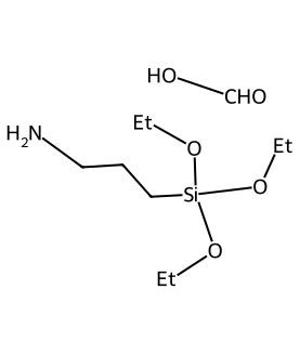 CCO[Si](CCCN)(OCC)OCC.O=CO